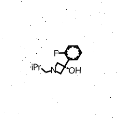 C[C](C)CN1CC(O)(c2ccccc2F)C1